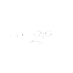 CCC(=N)c1c(C(O)COC(=O)CN)ccnc1Nc1ccc(OC(F)(F)F)cc1